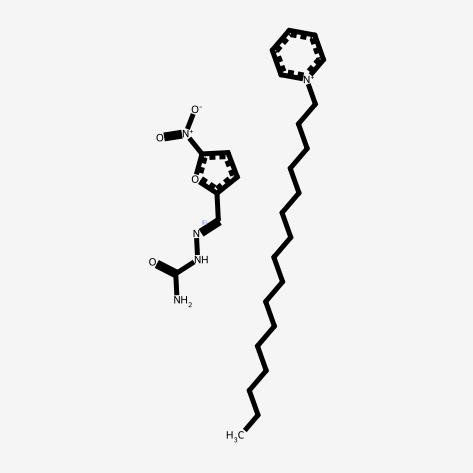 CCCCCCCCCCCCCCCC[n+]1ccccc1.NC(=O)N/N=C/c1ccc([N+](=O)[O-])o1